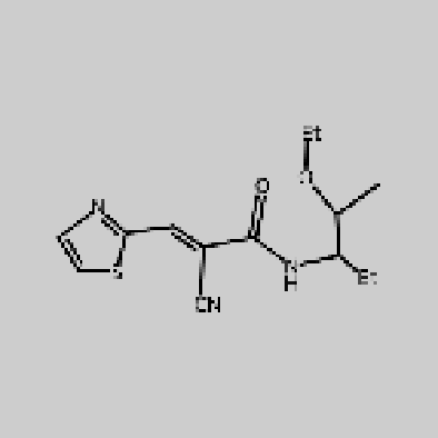 CCOC(C)C(CC)NC(=O)/C(C#N)=C/c1nccs1